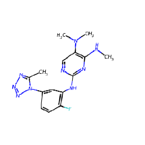 CNc1nc(Nc2cc(-n3nnnc3C)ccc2F)ncc1N(C)C